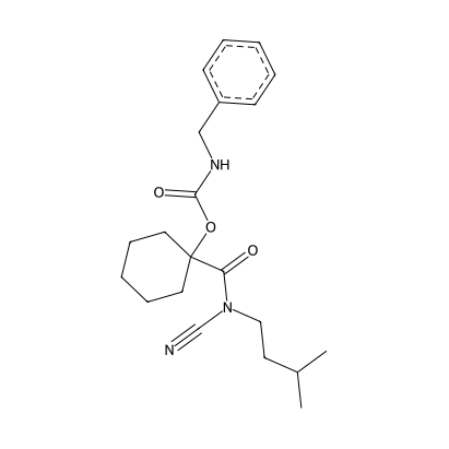 CC(C)CCN(C#N)C(=O)C1(OC(=O)NCc2ccccc2)CCCCC1